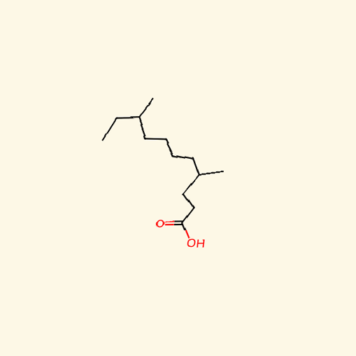 CCC(C)CCCCC(C)CCC(=O)O